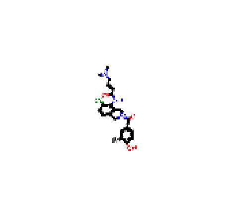 CC(C)c1cc(C(=O)N2Cc3ccc(Cl)c(NC(=O)/C=C/CN(C)C)c3C2)ccc1O